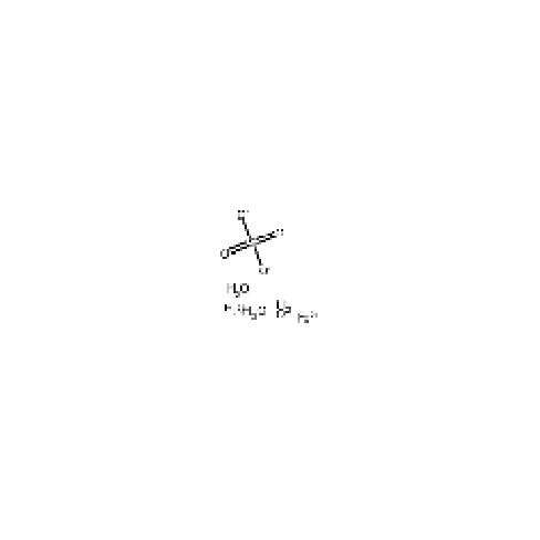 O.O.O.O.O=S(=O)([O-])[O-].[Fe+2]